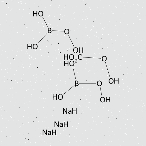 O=C(O)OO.OOB(O)O.OOB(O)O.[NaH].[NaH].[NaH]